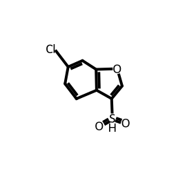 O=[SH](=O)c1coc2cc(Cl)ccc12